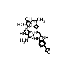 CN(C[C@H]1O[C@@H](N2CNC3C(N)=NCNC32)[C@H](O)[C@@H]1O)[C@H]1C[C@H](CCC2Nc3ccc(C4COC4)cc3N2)C1